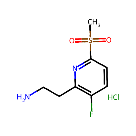 CS(=O)(=O)c1ccc(F)c(CCN)n1.Cl